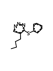 CCCCc1cnnnc1Sc1ccccc1